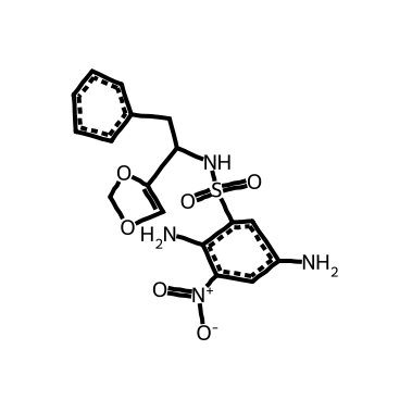 Nc1cc([N+](=O)[O-])c(N)c(S(=O)(=O)NC(Cc2ccccc2)C2=COCO2)c1